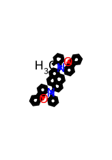 CC1CC=CC=C1N(c1ccc2ccc3c(N(c4ccccc4)c4cccc5c4oc4ccccc45)ccc4ccc1c2c43)c1cccc2c1oc1ccccc12